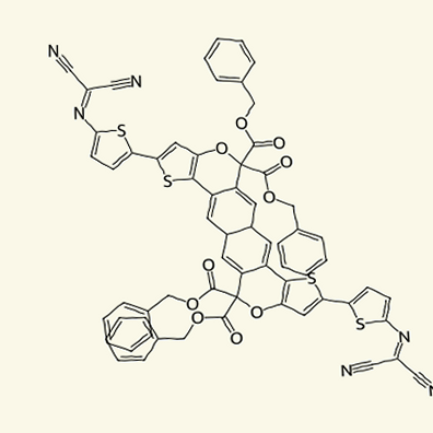 N#CC(C#N)=Nc1ccc(-c2cc3c(s2)C2=CC4C=C5C(=CC4C=C2C(C(=O)OCc2ccccc2)(C(=O)OCc2ccccc2)O3)c2sc(-c3ccc(N=C(C#N)C#N)s3)cc2OC5(C(=O)OCc2ccccc2)C(=O)OCc2ccccc2)s1